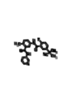 Cc1ccc(NC(=O)c2cc(C(C)(C)C#N)ccc2F)cc1C(=O)Nc1cccnc1